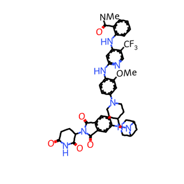 CNC(=O)c1ccccc1Nc1cc(Nc2ccc(N3CCC(CN4C5CC4CN(c4ccc6c(c4)C(=O)N(C4CCC(=O)NC4=O)C6=O)C5)CC3)cc2OC)ncc1C(F)(F)F